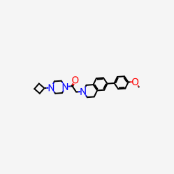 COc1ccc(-c2ccc3c(c2)CCN(CC(=O)N2CCN(C4CCC4)CC2)C3)cc1